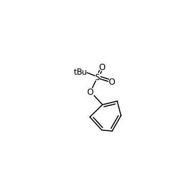 CC(C)(C)S(=O)(=O)Oc1ccccc1